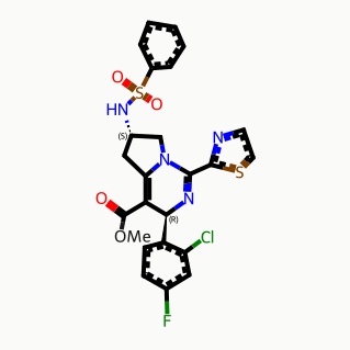 COC(=O)C1=C2C[C@H](NS(=O)(=O)c3ccccc3)CN2C(c2nccs2)=N[C@H]1c1ccc(F)cc1Cl